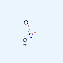 COc1nc(C)nc2c1c(COCc1ccccc1)nn2[C@@H](C)c1ccc(C(C)(C)C)cc1